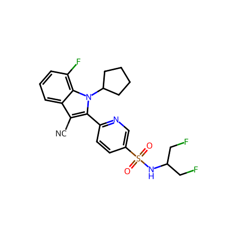 N#Cc1c(-c2ccc(S(=O)(=O)NC(CF)CF)cn2)n(C2CCCC2)c2c(F)cccc12